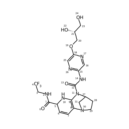 O=C(NCC(F)(F)F)C1C=CC2=C(N1)N(C(=O)Nc1cnc(OC[C@H](O)CO)cn1)C1CCN2C1